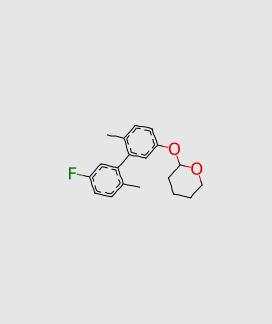 Cc1ccc(F)cc1-c1cc(OC2CCCCO2)ccc1C